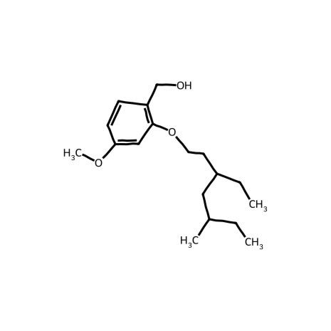 CCC(C)CC(CC)CCOc1cc(OC)ccc1CO